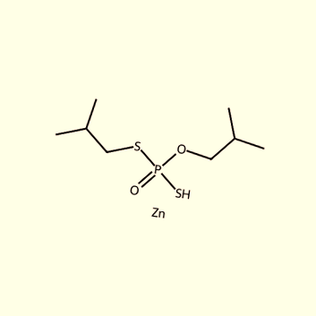 CC(C)COP(=O)(S)SCC(C)C.[Zn]